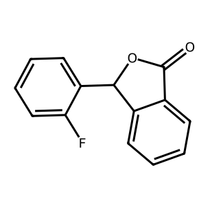 O=C1OC(c2ccccc2F)c2ccccc21